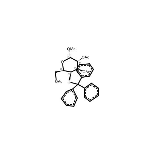 CO[C@H]1O[C@H](COC(C)=O)[C@H](OC(c2ccccc2)(c2ccccc2)c2ccccc2)[C@H](OC(C)=O)[C@H]1OC(C)=O